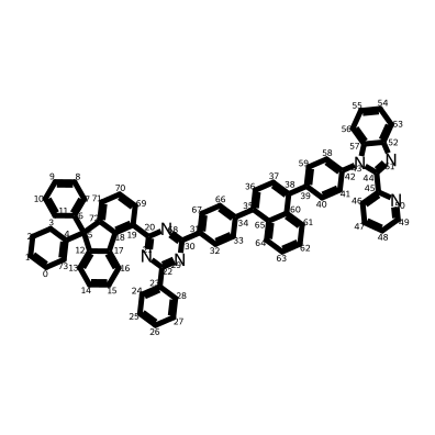 C1=CCCC(C2(c3ccccc3)c3ccccc3-c3c(-c4nc(-c5ccccc5)nc(-c5ccc(-c6ccc(-c7ccc(-n8c(-c9ccccn9)nc9ccccc98)cc7)c7ccccc67)cc5)n4)cccc32)=C1